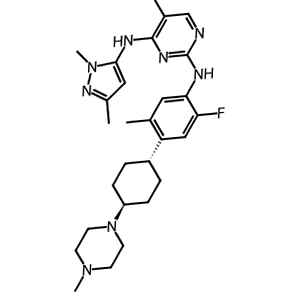 Cc1cc(Nc2nc(Nc3cc(C)c([C@H]4CC[C@H](N5CCN(C)CC5)CC4)cc3F)ncc2C)n(C)n1